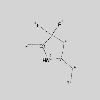 C=C1NC(CC)CC1(F)F